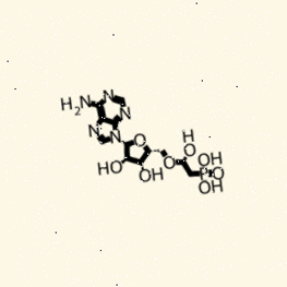 Nc1ncnc2c1ncn2[C@@H]1O[C@H](CO[C@@H](O)CP(=O)(O)O)[C@H](O)[C@H]1O